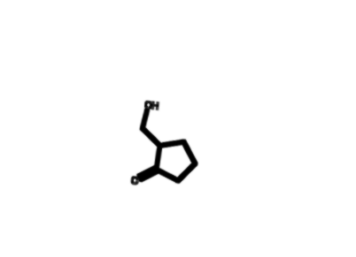 O=C1CCCC1CO